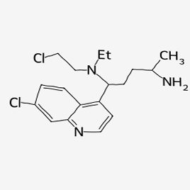 CCN(CCCl)C(CCC(C)N)c1ccnc2cc(Cl)ccc12